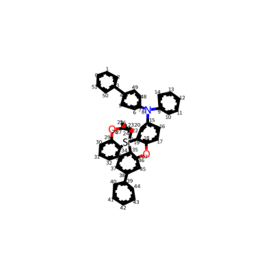 c1ccc(-c2ccc(N(c3ccccc3)c3ccc4c(c3)[Si]3(c5ccccc5Oc5ccccc53)c3ccc(-c5ccccc5)cc3O4)cc2)cc1